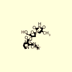 Cc1cn([C@H]2CC(OC(=O)c3cccnc3C(C)(C)N=[N+]=[N-])[C@@H](CO)O2)c(=O)[nH]c1=O